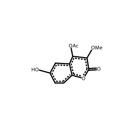 COc1c(OC(C)=O)c2cc(O)ccc2oc1=O